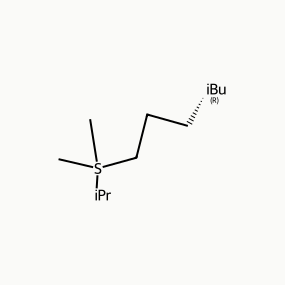 CC[C@@H](C)CCCS(C)(C)C(C)C